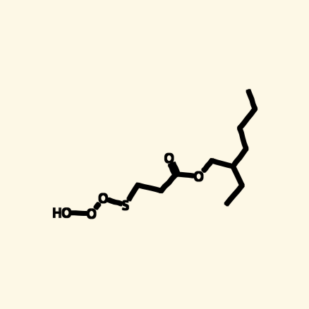 CCCCC(CC)COC(=O)CCSOOO